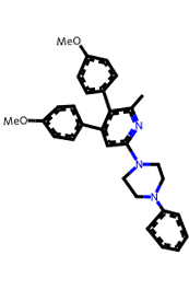 COc1ccc(-c2cc(N3CCN(c4ccccc4)CC3)nc(C)c2-c2ccc(OC)cc2)cc1